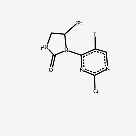 CC(C)C1CNC(=O)N1c1nc(Cl)ncc1F